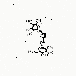 C[C@H]1OC(OCc2ccc(COC3O[C@H](CO)[C@H](O)[C@H](O)[C@H]3O)o2)[C@H](O)[C@@H](O)[C@H]1O